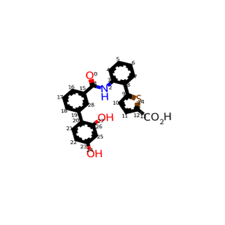 O=C(Nc1ccccc1-c1ccc(C(=O)O)s1)c1cccc(-c2ccc(O)cc2O)c1